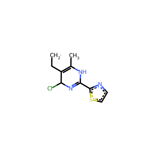 [CH2]CC1=C(C)NC(c2nccs2)=NC1Cl